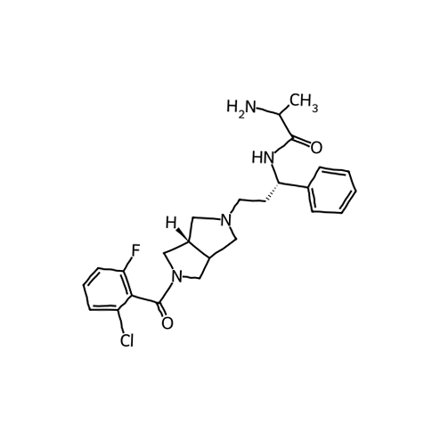 CC(N)C(=O)N[C@@H](CCN1CC2CN(C(=O)c3c(F)cccc3Cl)C[C@@H]2C1)c1ccccc1